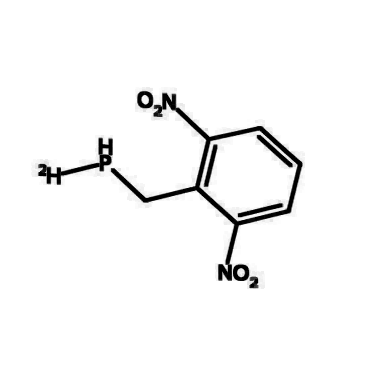 [2H]PCc1c([N+](=O)[O-])cccc1[N+](=O)[O-]